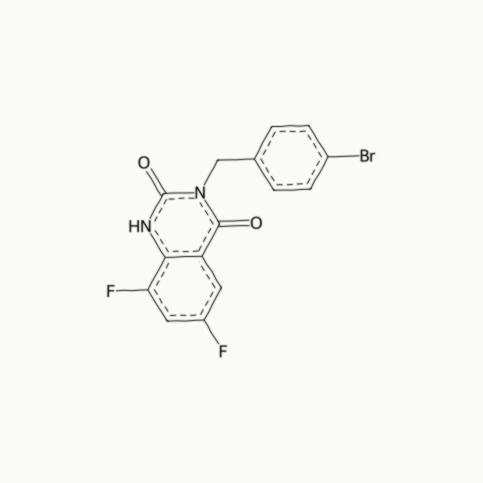 O=c1[nH]c2c(F)cc(F)cc2c(=O)n1Cc1ccc(Br)cc1